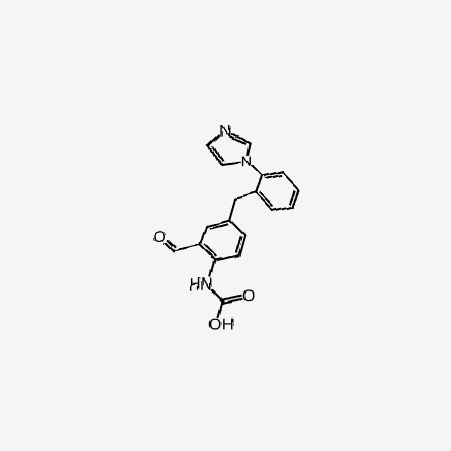 O=Cc1cc(Cc2ccccc2-n2ccnc2)ccc1NC(=O)O